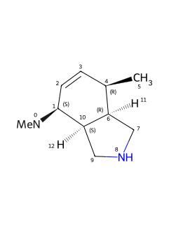 CN[C@H]1C=C[C@@H](C)[C@H]2CNC[C@H]21